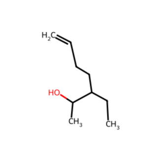 C=CCCC(CC)C(C)O